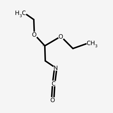 CCO[C](CN=C=O)OCC